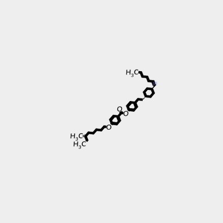 CCCCC/C=C\[C@H]1CC[C@H](CCc2ccc(OC(=O)c3ccc(OCCCCC[C@@H](C)CC)cc3)cc2)CC1